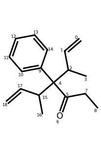 C=CC(C)C(C(=O)CC)(c1ccccc1)C(C)C=C